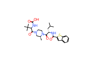 CC(C)C[C@H](NC(=O)c1cc2ccccc2s1)C(=O)N1CCN(C(=O)C(NC(=O)O)C(C)(C)C)C[C@@H]1C